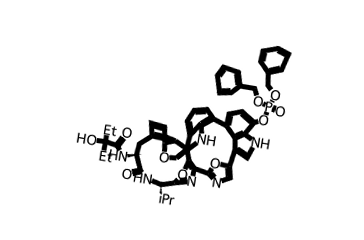 CCC(O)(CC)C(=O)N[C@H]1Cc2ccc3c(c2)C24c5cccc(c5NC2O3)-c2ccc(OP(=O)(OCc3ccccc3)OCc3ccccc3)c3[nH]cc(c23)-c2cnc(o2)-c2nc(oc24)[C@H](C(C)C)NC1=O